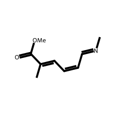 C/N=C/C=C\C=C(/C)C(=O)OC